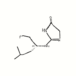 CC(C)C[C@H](CF)NC1=NCC(=O)N1